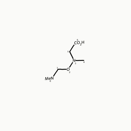 CNCON(C)CC(=O)O